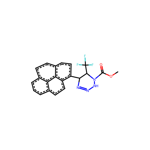 COC(=O)N1NN=NC(c2ccc3ccc4cccc5ccc2c3c45)C1C(F)(F)F